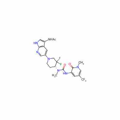 CC(=O)Nc1c[nH]c2ncc(N3CC[C@@H](N(C)C(=O)Nc4cc(C(F)(F)F)cn(C)c4=O)C(F)(F)C3)cc12